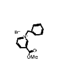 COC(=O)c1ccc[n+](Cc2ccccc2)c1.[Br-]